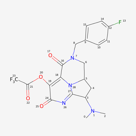 CN(C)C1CC2CN(Cc3ccc(F)cc3)C(=O)c3c(OC(=O)C(F)(F)F)c(=O)nc1n32